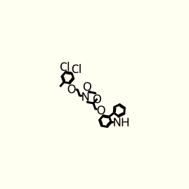 Cc1cc(Cl)c(Cl)cc1OCCN1CC(COc2cccc3[nH]c4ccccc4c23)OCC1=O